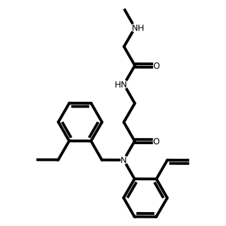 C=Cc1ccccc1N(Cc1ccccc1CC)C(=O)CCNC(=O)CNC